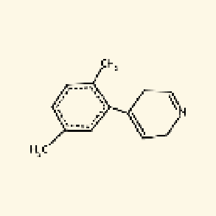 Cc1ccc(C)c(C2=CCN=CC2)c1